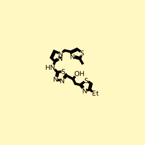 CCc1csc(CC(O)c2nnc(Nc3ccn(Cc4csc(C)n4)n3)s2)n1